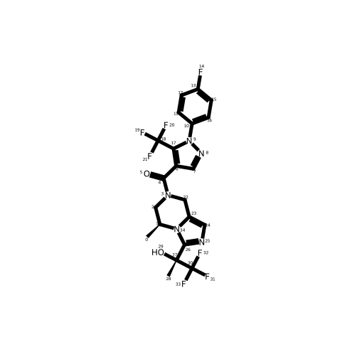 C[C@H]1CN(C(=O)c2cnn(-c3ccc(F)cc3)c2C(F)(F)F)Cc2cnc([C@@](C)(O)C(F)(F)F)n21